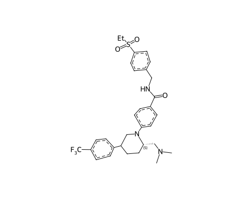 CCS(=O)(=O)c1ccc(CNC(=O)c2ccc(N3CC(c4ccc(C(F)(F)F)cc4)CC[C@H]3CN(C)C)cc2)cc1